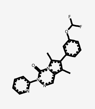 Cc1c(-c2cccc(OC(F)F)c2)c(C)n2c(=O)n(-c3ccccn3)ncc12